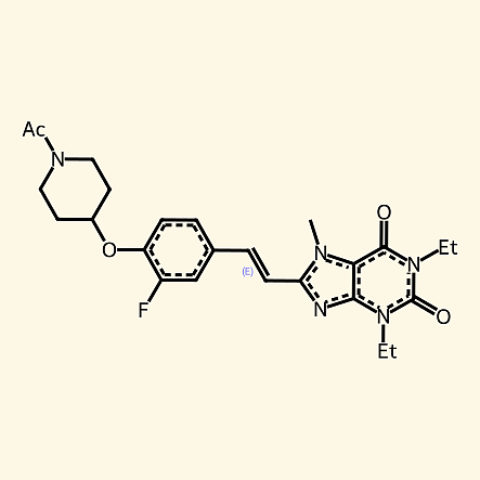 CCn1c(=O)c2c(nc(/C=C/c3ccc(OC4CCN(C(C)=O)CC4)c(F)c3)n2C)n(CC)c1=O